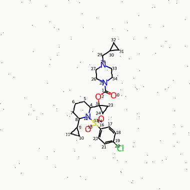 O=C(OC1(C2CCCC(C3CC3)N2S(=O)(=O)c2ccc(Cl)cc2)CC1)N1CCN(CC2CC2)CC1